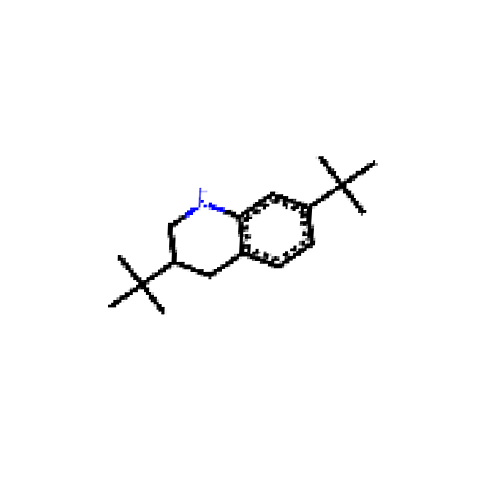 CC(C)(C)c1ccc2c(c1)NCC(C(C)(C)C)C2